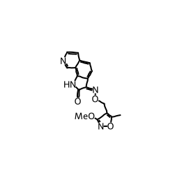 COc1noc(C)c1CON=C1C(=O)Nc2c1ccc1ccncc21